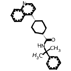 CC(C)(NC(=O)[C@H]1CC[C@@H](c2ccnc3ccccc32)CC1)c1ccccc1